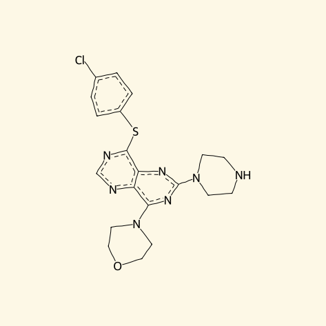 Clc1ccc(Sc2ncnc3c(N4CCOCC4)nc(N4CCNCC4)nc23)cc1